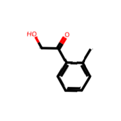 [CH2]c1ccccc1C(=O)[CH]O